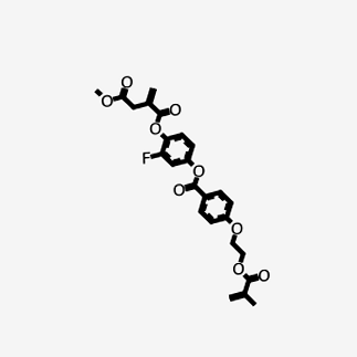 C=C(C)C(=O)OCCOc1ccc(C(=O)Oc2ccc(OC(=O)C(=C)CC(=O)OC)c(F)c2)cc1